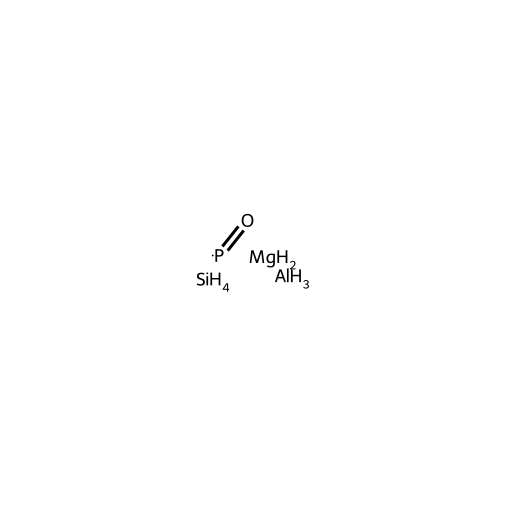 O=[P].[AlH3].[MgH2].[SiH4]